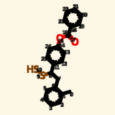 Cc1ccccc1CC(SS)c1ccc(OC(=O)c2ccccc2)cc1